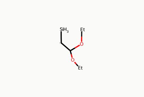 CCOC([CH][SiH3])OCC